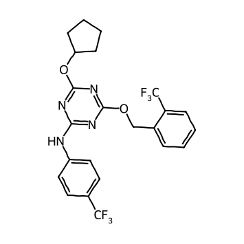 FC(F)(F)c1ccc(Nc2nc(OCc3ccccc3C(F)(F)F)nc(OC3CCCC3)n2)cc1